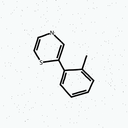 Cc1ccccc1C1=C[N]C=CS1